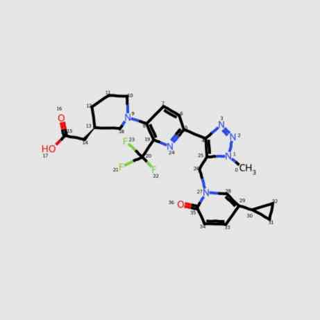 Cn1nnc(-c2ccc(N3CCC[C@H](CC(=O)O)C3)c(C(F)(F)F)n2)c1Cn1cc(C2CC2)ccc1=O